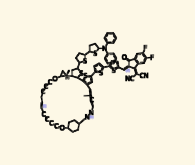 CC1=CC2CC=C1c1cc(-c3ccc(-c4ccc(/C=C5\C(=O)c6cc(F)c(F)cc6C5=C(C#N)C#N)s4)s3)sc1C1SC(C3CCC(C4CCC(N(c5ccccc5)c5ccccc5)S4)S3)CC1[C@@]1(C)CC1OCCCC/C=C/CCCCOC1CCC(CC1)/N=N/2